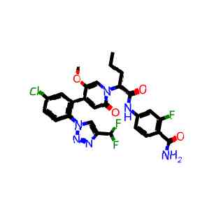 CCCC(C(=O)Nc1ccc(C(N)=O)c(F)c1)n1cc(OC)c(-c2cc(Cl)ccc2-n2cc(C(F)F)nn2)cc1=O